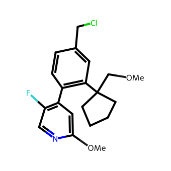 COCC1(c2cc(CCl)ccc2-c2cc(OC)ncc2F)CCCC1